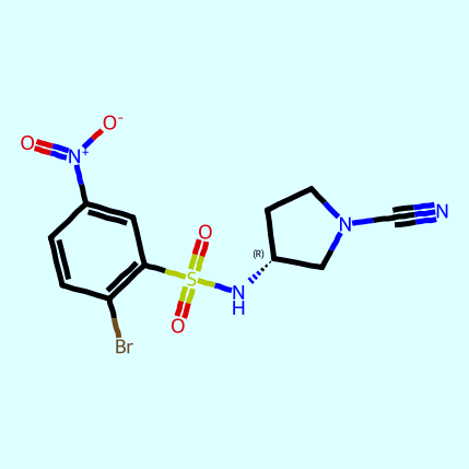 N#CN1CC[C@@H](NS(=O)(=O)c2cc([N+](=O)[O-])ccc2Br)C1